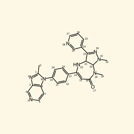 Cc1nc2cnccc2n1-c1ccc(C2=CC(=O)N(C)C3C(N2)C(c2cccnc2)=NN3C)cc1